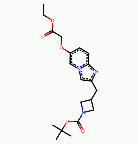 CCOC(=O)COc1ccc2nc(CC3CN(C(=O)OC(C)(C)C)C3)cn2c1